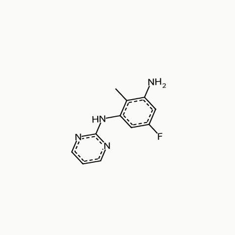 Cc1c(N)cc(F)cc1Nc1ncccn1